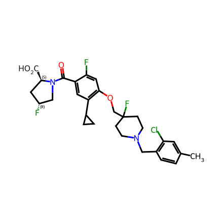 Cc1ccc(CN2CCC(F)(COc3cc(F)c(C(=O)N4C[C@H](F)C[C@H]4C(=O)O)cc3C3CC3)CC2)c(Cl)c1